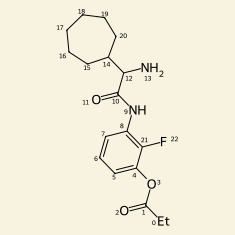 CCC(=O)Oc1cccc(NC(=O)C(N)C2CCCCCC2)c1F